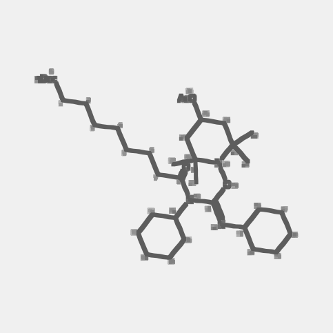 CCCCCCCCCCCCCCCCCC(=O)N(C(=NC1CCCCC1)ON1C(C)(C)CC(OC(C)=O)CC1(C)C)C1CCCCC1